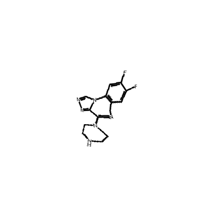 Fc1cc2nc(N3CCNCC3)c3nncn3c2cc1F